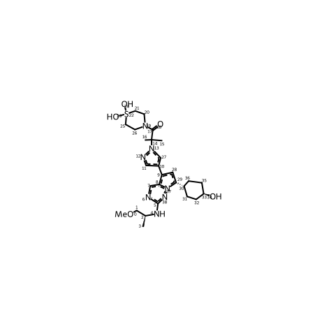 COC[C@H](C)Nc1ncc2c(-c3cnn(C(C)(C)C(=O)N4CCS(O)(O)CC4)c3)cc([C@H]3CC[C@H](O)CC3)n2n1